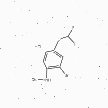 CC(C)(C)Nc1ccc(OC(F)F)cc1Br.Cl